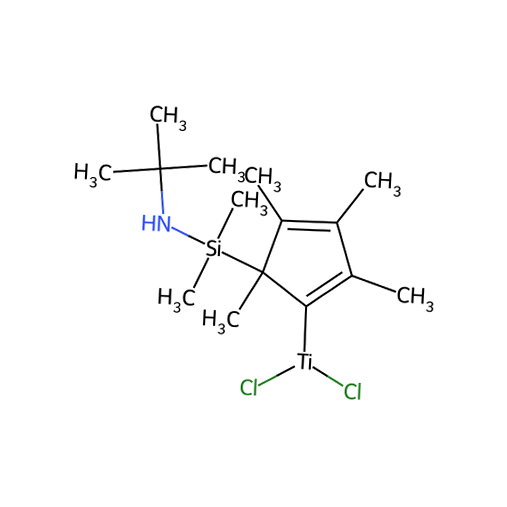 CC1=C(C)C(C)([Si](C)(C)NC(C)(C)C)[C]([Ti]([Cl])[Cl])=C1C